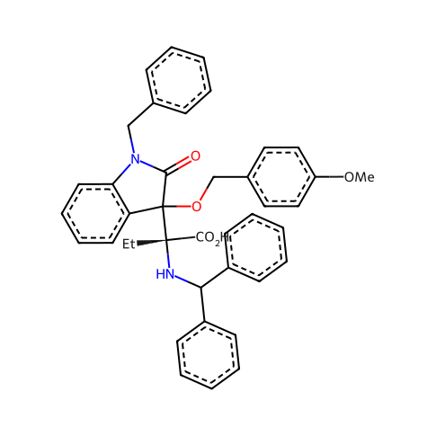 CC[C@](NC(c1ccccc1)c1ccccc1)(C(=O)O)C1(OCc2ccc(OC)cc2)C(=O)N(Cc2ccccc2)c2ccccc21